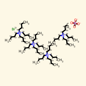 CCCC[N+](CCCC)(CCCC)CCCC.CCCC[N+](CCCC)(CCCC)CCCC.CCCC[N+](CCCC)(CCCC)CCCC.CCCC[N+](CCCC)(CCCC)CCCC.O=P([O-])([O-])[O-].[Br-]